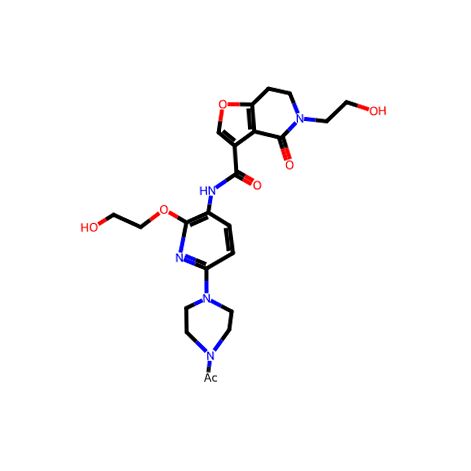 CC(=O)N1CCN(c2ccc(NC(=O)c3coc4c3C(=O)N(CCO)CC4)c(OCCO)n2)CC1